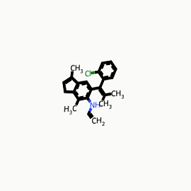 C=CNc1c(C(=C(C)C)c2ccccc2Cl)cc2c(c1C)CC=C2C